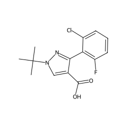 CC(C)(C)n1cc(C(=O)O)c(-c2c(F)cccc2Cl)n1